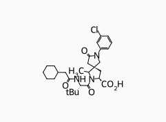 CC1N(C(=O)[C@@H](NC(=O)CC2CCCCC2)C(C)(C)C)[C@H](C(=O)O)C[C@]12CC(=O)N(c1cccc(Cl)c1)C2